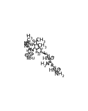 Cc1sc2c(c1C)C(c1ccc(C#CCNC(=O)[C@@H](N)CCCNC(N)=O)cc1)=N[C@@H](CC(=O)OC(C)(C)C)c1nnc(C)n1-2